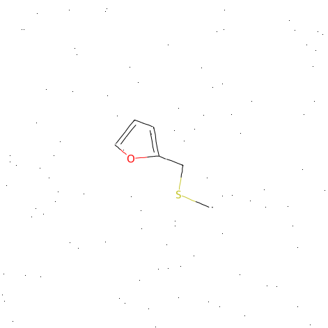 [CH2]SCc1ccco1